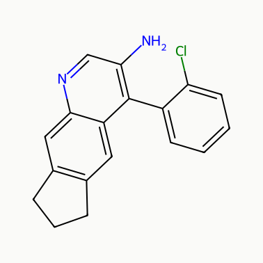 Nc1cnc2cc3c(cc2c1-c1ccccc1Cl)CCC3